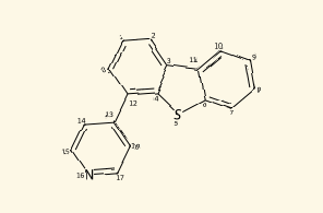 [c]1ccc2c(sc3ccccc32)c1-c1ccncc1